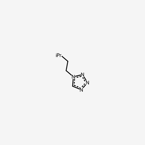 CC(C)CCn1cnnn1